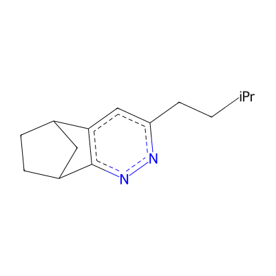 CC(C)CCc1cc2c(nn1)C1CCC2C1